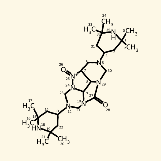 CC1(C)CC(N2CC3C4C5N(CN(C6CC(C)(C)NC(C)(C)C6)CN5[N+]3=O)C(=O)N4C2)CC(C)(C)N1